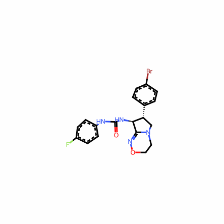 O=C(Nc1ccc(F)cc1)N[C@@H]1C2=NOCCN2C[C@H]1c1ccc(Br)cc1